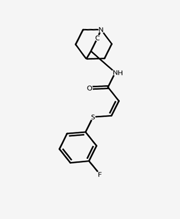 O=C(/C=C\Sc1cccc(F)c1)NC1CN2CCC1CC2